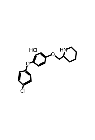 Cl.Clc1ccc(Oc2ccc(OCC3CCCCN3)cc2)cc1